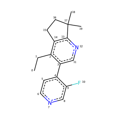 CCc1c(-c2ccncc2F)cnc2c1CCC2(C)C